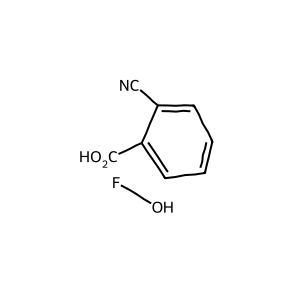 N#Cc1ccccc1C(=O)O.OF